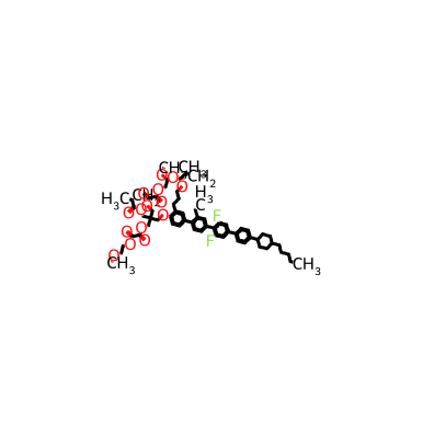 C=C(C)C(=O)OCCCc1cc(-c2ccc(-c3c(F)cc(-c4ccc(C5CCC(CCCCC)CC5)cc4)cc3F)cc2CC)ccc1OCC(COC(=O)C(=C)C)(COC(=O)C(=O)OCCOC)COC(=O)C(=O)OCCOC